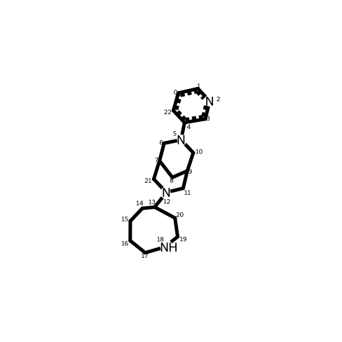 c1cncc(N2CC3CC(C2)CN(C2CCCCNCC2)C3)c1